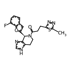 Cc1nnc(CCC(=O)N2CCc3[nH]cnc3[C@H]2c2cc3cccc(F)c3o2)s1